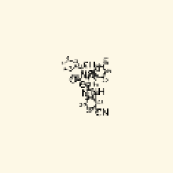 C[C@H](C1CCCCC1)N1C(=O)O[C@](Cc2ccc(F)cc2)(c2nc3ccc(C#N)cc3[nH]2)C1=O